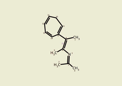 CC(C)=N/C(C)=C(\C)C1=CCC=CC=C1